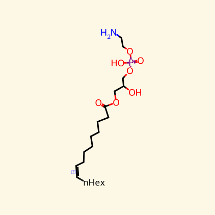 CCCCCC/C=C\CCCCCCCC(=O)OCC(O)COP(=O)(O)OCCN